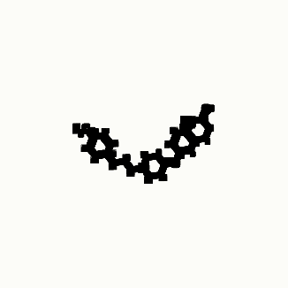 O=C1CCc2cc(OC3CCN(CCCc4ccc(C(F)(F)F)cc4)CC3)ccc2N1